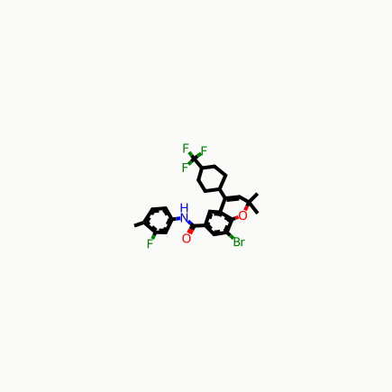 Cc1ccc(NC(=O)c2cc(Br)c3c(c2)C(C2CCC(C(F)(F)F)CC2)=CC(C)(C)O3)cc1F